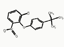 CC(C)(C)c1ccc(Oc2c(Cl)cccc2[N+](=O)[O-])cc1